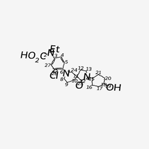 CCN(C(=O)O)c1ccc(N2CCCC3(CCN(C4CCC(O)CC4)C3=O)C2)c(Cl)c1